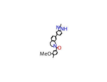 COc1cc(C(=O)N2CCCc3ccc(-c4ccc5[nH]c(C)nc5c4)cc3C2)ccc1C